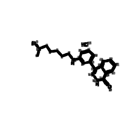 CCN(C)CCCCCNc1cccc(-c2n[nH]c(=O)c3ccccc23)c1.Cl